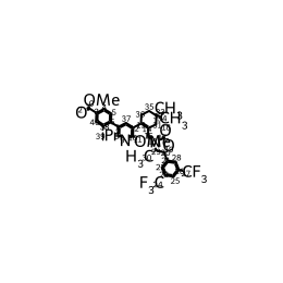 COC(=O)c1ccc(-c2cnc(OC)c(C3=C(CN4C(=O)OC(c5cc(C(F)(F)F)cc(C(F)(F)F)c5)[C@@H]4C)CC(C)(C)CC3)c2)c(C(C)C)c1